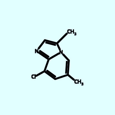 Cc1cc(Cl)c2ncc(C)n2c1